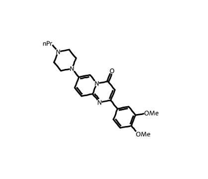 CCCN1CCN(c2ccc3nc(-c4ccc(OC)c(OC)c4)cc(=O)n3c2)CC1